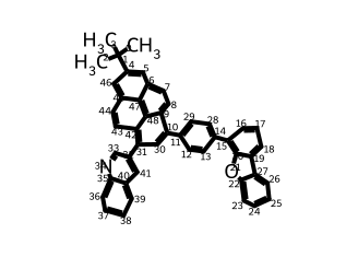 CC(C)(C)c1cc2ccc3c(-c4ccc(-c5cccc6c5oc5ccccc56)cc4)cc(-c4cnc5ccccc5c4)c4ccc(c1)c2c34